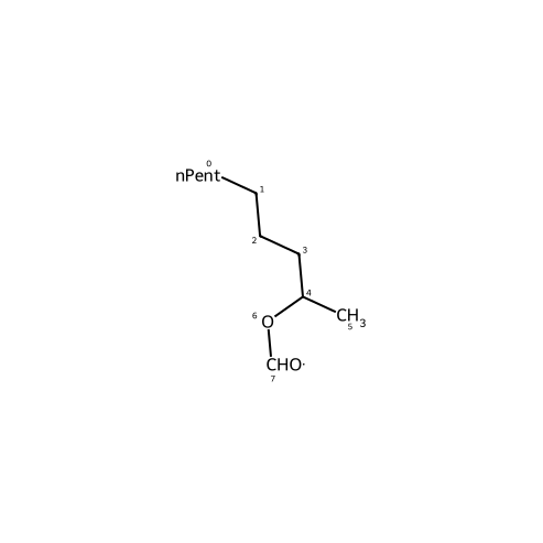 CCCCCCCCC(C)O[C]=O